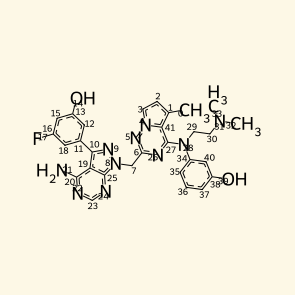 Cc1ccn2nc(Cn3nc(-c4cc(O)cc(F)c4)c4c(N)ncnc43)nc(N(CCN(C)C)c3cccc(O)c3)c12